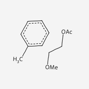 COCCOC(C)=O.Cc1ccccc1